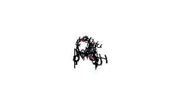 C[C@@H]1C[C@H]2CCCCCc3nc4ccc(F)cc4nc3O[C@H]3CN(C(=O)[C@H](C(C)(C)C)NC(=O)O[C@@H]2C1)[C@H](C(=O)N[C@]1(C(=O)NS(=O)(=O)C2(C)CC2)C[C@H]1C(F)F)[C@@H]3C